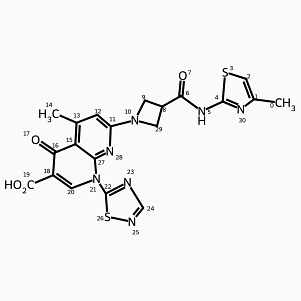 Cc1csc(NC(=O)C2CN(c3cc(C)c4c(=O)c(C(=O)O)cn(-c5ncns5)c4n3)C2)n1